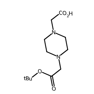 CC(C)(C)OC(=O)CN1CCN(CC(=O)O)CC1